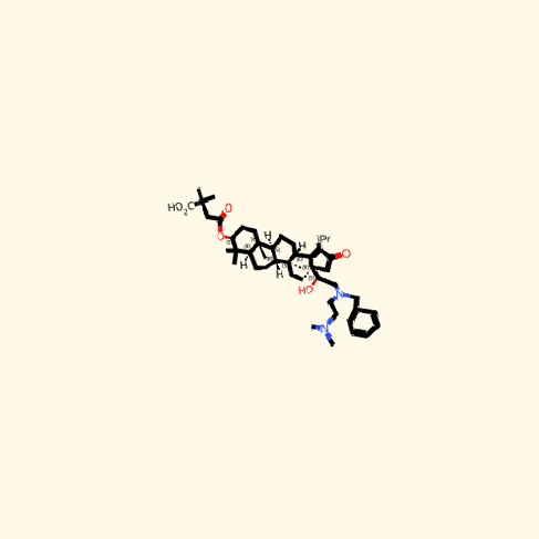 CC(C)C1=C2[C@H]3CC[C@H]4[C@@H](CC[C@H]5C(C)(C)[C@@H](OC(=O)CC(C)(C)C(=O)O)CC[C@]45C)[C@]3(C)CC[C@@]2([C@H](O)CN(CCN(C)C)Cc2ccccc2)CC1=O